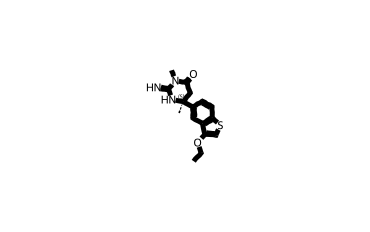 CCOc1csc2ccc([C@]3(C)CC(=O)N(C)C(=N)N3)cc12